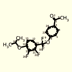 CC(=O)c1ccc(OC(F)(F)c2ccc(OC(C)C)c(F)c2F)cc1